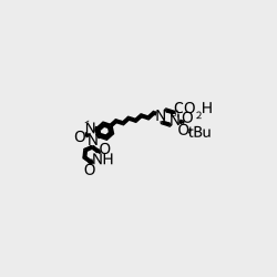 Cn1c(=O)n(C2CCC(=O)NC2=O)c2ccc(CCCCCCCN3CCN(C(=O)OC(C)(C)C)[C@H](C(=O)O)C3)cc21